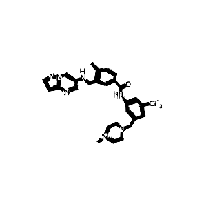 Cc1ccc(C(=O)Nc2cc(CN3CCN(C)CC3)cc(C(F)(F)F)c2)cc1CNc1cnc2ccnn2c1